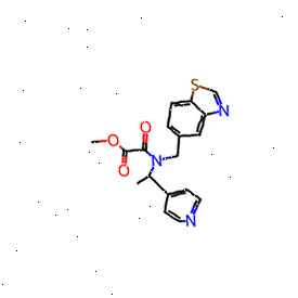 COC(=O)C(=O)N(Cc1ccc2scnc2c1)C(C)c1ccncc1